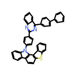 c1ccc(-c2ccc(-c3nc(-c4ccc(-n5c6ccccc6c6ccc7sc8ccccc8c7c65)cc4)nc4ccccc34)cc2)cc1